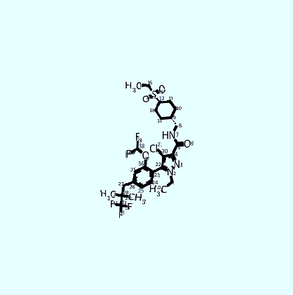 CCn1nc(C(=O)NC[C@H]2CC[C@H](S(=O)(=O)CC)CC2)c(Cl)c1-c1ccc(CC(C)(C)C(F)(F)F)cc1OC(F)F